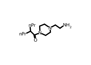 CCCC(CCC)C(=O)N1CCN(CCN)CC1